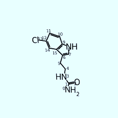 NC(=O)NCCc1c[nH]c2ccc(Cl)cc12